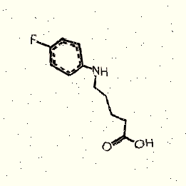 O=C(O)CCCCNc1ccc(F)cc1